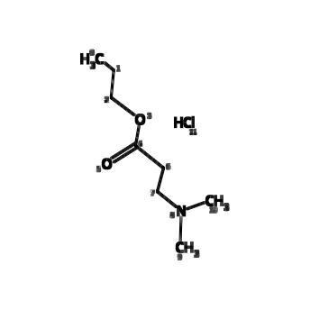 CCCOC(=O)CCN(C)C.Cl